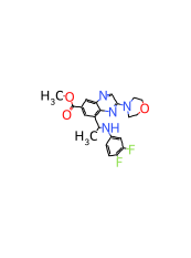 COC(=O)c1cc(C(C)Nc2ccc(F)c(F)c2)c2nc(N3CCOCC3)cnc2c1